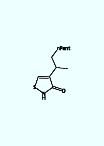 CCCCCCC(C)c1cs[nH]c1=O